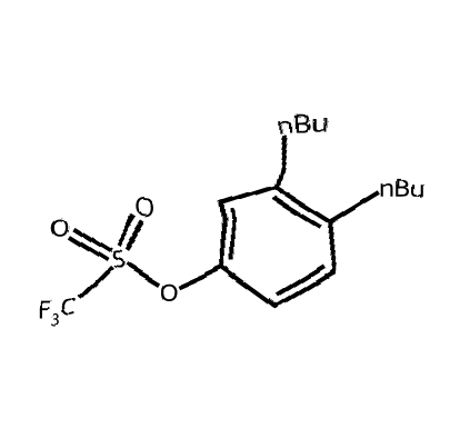 CCCCc1ccc(OS(=O)(=O)C(F)(F)F)cc1CCCC